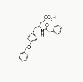 O=C(O)CCC(Cc1ccc(OCc2ccccc2)cc1)NC(=O)Cc1ccccc1